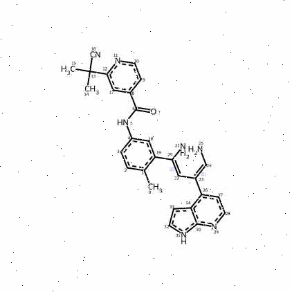 Cc1ccc(NC(=O)c2ccnc(C(C)(C)C#N)c2)cc1/C(N)=C/C(=C\N)c1ccnc2[nH]ccc12